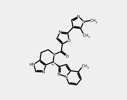 Cc1cccn2nc([C@H]3c4nc[nH]c4CCN3C(=O)c3cnc(-c4cnn(C)c4C)o3)cc12